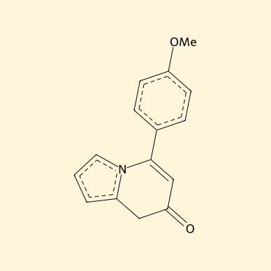 COc1ccc(C2=CC(=O)Cc3cccn32)cc1